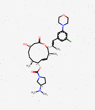 C/C(=C\c1cc(F)cc(N2CCOCC2)c1)[C@H]1OC(=O)C[C@H](O)CC[C@H](C)[C@@H](OC(=O)N2CC[C@@H](N(C)C)C2)/C=C/[C@@H]1C